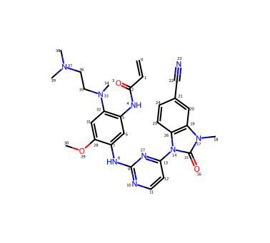 C=CC(=O)Nc1cc(Nc2nccc(-n3c(=O)n(C)c4cc(C#N)ccc43)n2)c(OC)cc1N(C)CCN(C)C